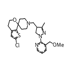 COCc1cccnc1N1CC(CN2CCC3(CC2)OCCc2cc(Cl)sc23)C(C)=N1